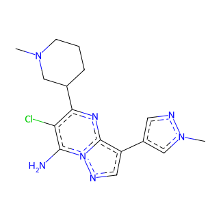 CN1CCCC(c2nc3c(-c4cnn(C)c4)cnn3c(N)c2Cl)C1